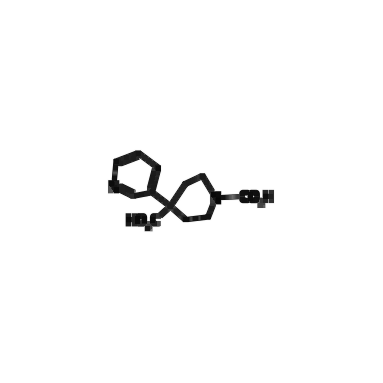 O=C(O)N1CCC(C(=O)O)(c2cccnc2)CC1